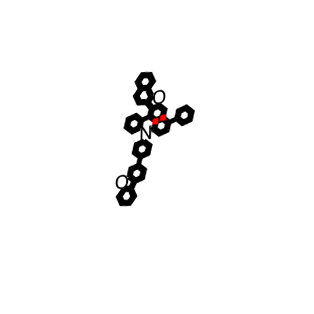 c1ccc(-c2ccc(N(c3ccc(-c4ccc5c(c4)oc4ccccc45)cc3)c3ccccc3-c3cccc4oc5c6ccccc6ccc5c34)cc2)cc1